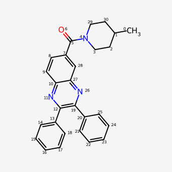 CC1CCN(C(=O)c2ccc3nc(-c4ccccc4)c(-c4ccccc4)nc3c2)CC1